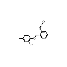 CCc1cc(C)ccc1OCc1ccccc1N=C=O